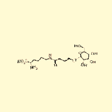 N[C@H](CCCCNC(=O)CCCO[C@@H]1O[C@H](CO)[C@H](O)[C@H](O)[C@H]1O)C(=O)O